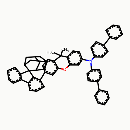 CC1(C)c2ccc(-c3cccc4c3C3(c5ccccc5-4)C4CC5CC(C4)CC3C5)cc2Oc2cc(N(c3ccc(-c4ccccc4)cc3)c3ccc(-c4ccccc4)cc3)ccc21